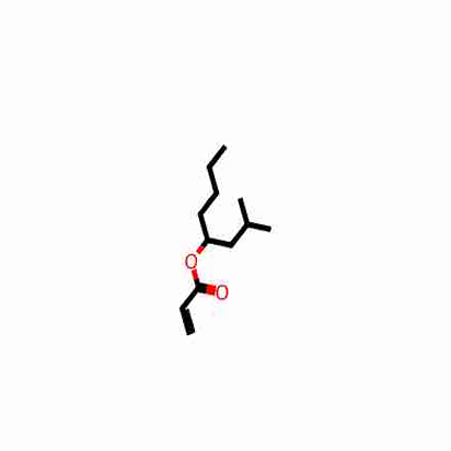 C=CC(=O)OC(CCCC)CC(C)C